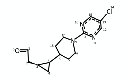 O=CC[C@@H]1CC1C1CCN(c2ncc(Cl)cn2)CC1